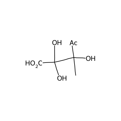 CC(=O)C(C)(O)C(O)(O)C(=O)O